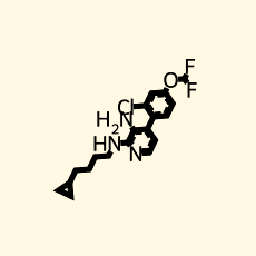 Nc1c(-c2ccc(OC(F)F)cc2Cl)ccnc1NCCCCC1CC1